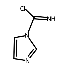 N=C(Cl)n1ccnc1